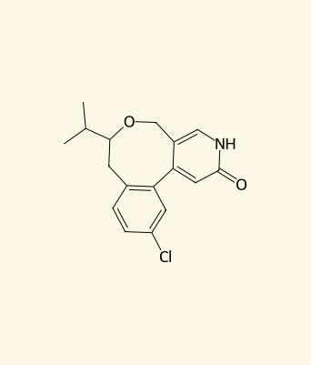 CC(C)C1Cc2ccc(Cl)cc2-c2cc(=O)[nH]cc2CO1